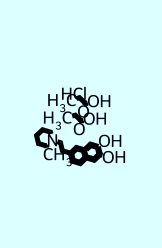 CC1CCCCN1CCc1ccc2cc(O)c(O)cc2c1.CCC(=O)O.CCC(=O)O.Cl